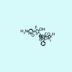 C[C@@](NP(=O)(OC[C@H]1S[C@@H](n2ccc(N)nc2=O)[C@@H](F)[C@@H]1O)Oc1ccccc1)(C(=O)O)C1CCC1